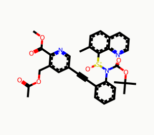 COC(=O)c1ncc(C#Cc2ccccc2N(C(=O)OC(C)(C)C)[S+]([O-])c2c(C)ccc3cccnc23)cc1COC(C)=O